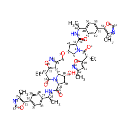 CC[C@@H](C(=O)N1C[C@H](OCc2cc([C@@H](CC)C(=O)N3C[C@H](O)C[C@H]3C(=O)N[C@@H](C)c3ccc(-c4ocnc4C)cc3)on2)C[C@H]1C(=O)N[C@@H](C)c1ccc(-c2ocnc2C)cc1)c1cc(C)no1